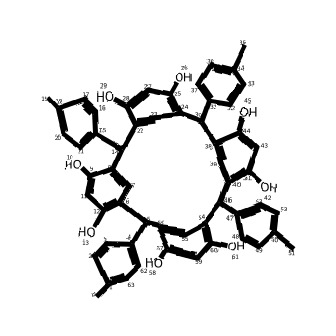 Cc1ccc(C2c3cc(c(O)cc3O)C(c3ccc(C)cc3)c3cc(c(O)cc3O)C(c3ccc(C)cc3)c3cc(c(O)cc3O)C(c3ccc(C)cc3)c3cc2c(O)cc3O)cc1